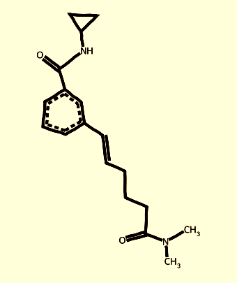 CN(C)C(=O)CCCC=Cc1cccc(C(=O)NC2CC2)c1